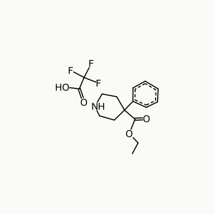 CCOC(=O)C1(c2ccccc2)CCNCC1.O=C(O)C(F)(F)F